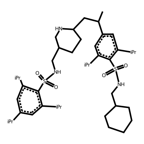 CC(C)c1cc(C(C)C)c(S(=O)(=O)NCC2CCC(CC(C)c3cc(C(C)C)c(S(=O)(=O)NCC4CCCCC4)c(C(C)C)c3)NC2)c(C(C)C)c1